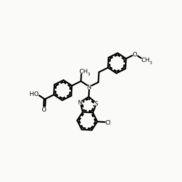 COc1ccc(CCN(c2nc3cccc(Cl)c3s2)C(C)c2ccc(C(=O)O)cc2)cc1